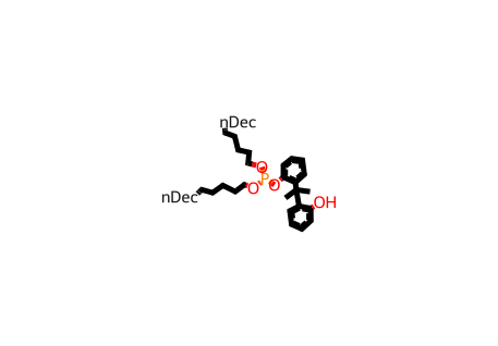 CCCCCCCCCCCCCCCOP(OCCCCCCCCCCCCCCC)Oc1ccccc1C(C)(C)c1ccccc1O